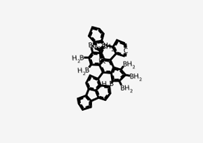 Bc1c(B)c(B)c2c(-c3ccc4c5c(cccc35)-c3ccccc3-4)c3c(B)c(B)c(B)c(B)c3c(-c3ccccc3-n3c(CC)nc4ccccc43)c2c1B